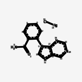 NC(=O)c1ccccc1-n1cnc2cncnc21.[Cl][Hg]